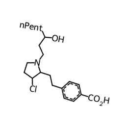 CCCCCC(O)CCN1CCC(Cl)C1CCc1ccc(C(=O)O)cc1